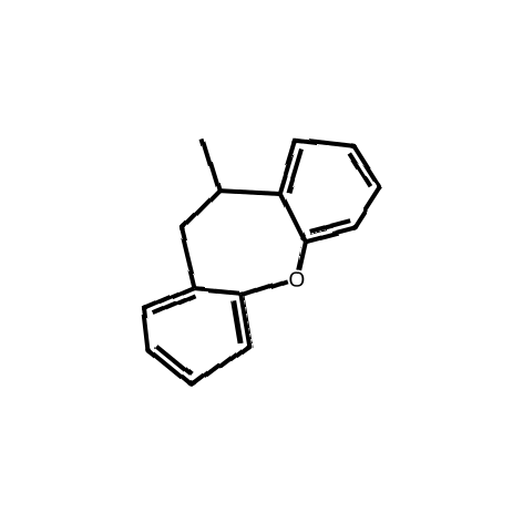 CC1Cc2ccccc2Oc2ccccc21